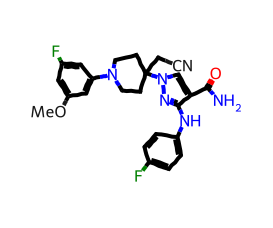 COc1cc(F)cc(N2CCC(CC#N)(n3cc(C(N)=O)c(Nc4ccc(F)cc4)n3)CC2)c1